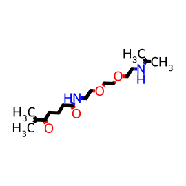 CC(C)NCCOCCOCCNC(=O)CCCC(=O)C(C)C